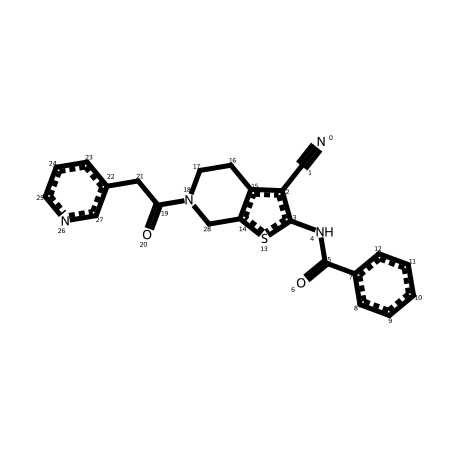 N#Cc1c(NC(=O)c2ccccc2)sc2c1CCN(C(=O)Cc1cccnc1)C2